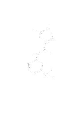 O=C(Nc1cccc(C(F)(F)F)c1)c1ccnc(F)c1